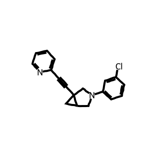 Clc1cccc(N2CC3CC3(C#Cc3ccccn3)C2)c1